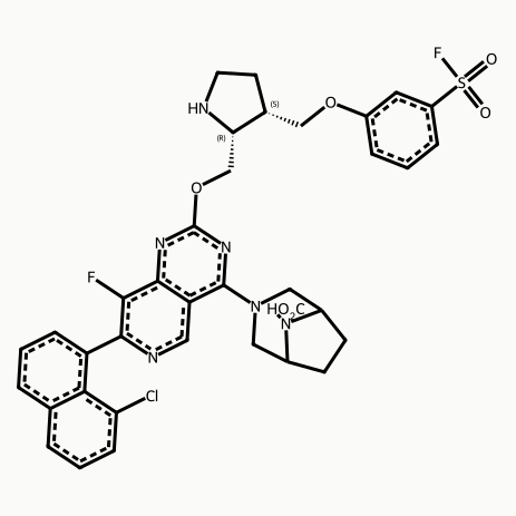 O=C(O)N1C2CCC1CN(c1nc(OC[C@@H]3NCC[C@@H]3COc3cccc(S(=O)(=O)F)c3)nc3c(F)c(-c4cccc5cccc(Cl)c45)ncc13)C2